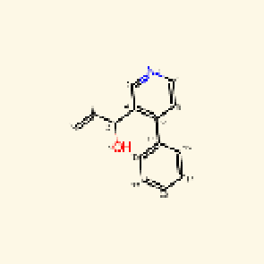 C=CC(O)c1cnccc1-c1ccccc1